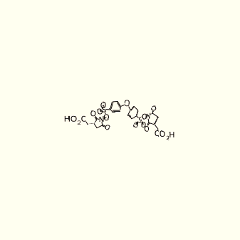 O=C(O)CC1CC(=O)N(OS(=O)(=O)c2ccc(Oc3ccc(S(=O)(=O)ON4C(=O)CC(CC(=O)O)C4=O)cc3)cc2)C1=O